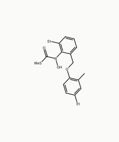 CCc1ccc(OCc2cccc(CC)c2N(O)C(=O)SC)c(C)c1